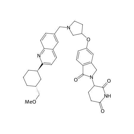 COC[C@@H]1CCC[C@@H](c2ccc3cc(CN4CCC(Oc5ccc6c(c5)CN(C5CCC(=O)NC5=O)C6=O)C4)ccc3n2)C1